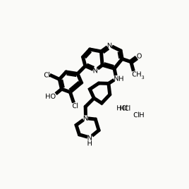 CC(=O)c1cnc2ccc(-c3cc(Cl)c(O)c(Cl)c3)nc2c1NC1CCC(CN2CCNCC2)CC1.Cl.Cl.Cl